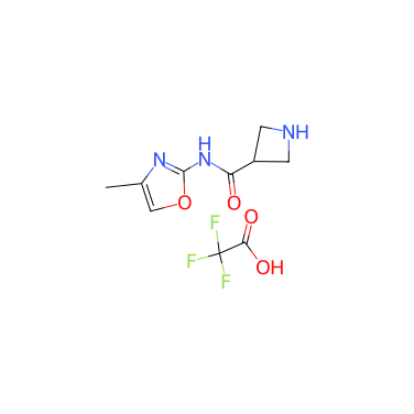 Cc1coc(NC(=O)C2CNC2)n1.O=C(O)C(F)(F)F